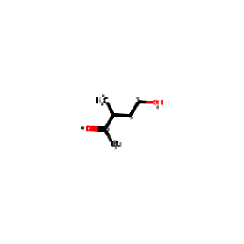 CC(CCO)C(=O)C(C)(C)C